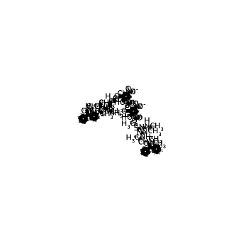 CC(C)(C)c1cc([N+](=O)[O-])cc([N+](=O)[O-])c1O.CC(C)(C)c1cc([N+](=O)[O-])cc([N+](=O)[O-])c1O.CCSc1nc(N)nc(N(C(C)C)C(C)C)n1.CCSc1nc(NC(C)C)nc(NC(C)C)n1.CN(C)C(=O)C(c1ccccc1)c1ccccc1.CN(C)C(=O)C(c1ccccc1)c1ccccc1